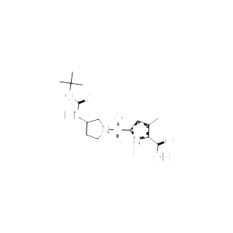 Cc1cc(S(=O)(=O)N2CCC(NC(=O)OC(C)(C)C)C2)[nH]c1C(=O)O